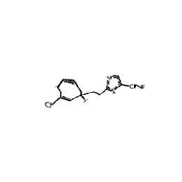 N#Cc1cnc(CCC2(F)C=C[CH]C(Cl)=C2)s1